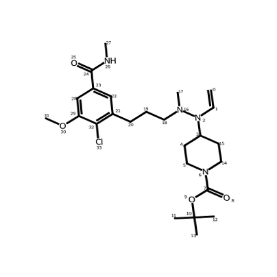 C=CN(C1CCN(C(=O)OC(C)(C)C)CC1)N(C)CCCc1cc(C(=O)NC)cc(OC)c1Cl